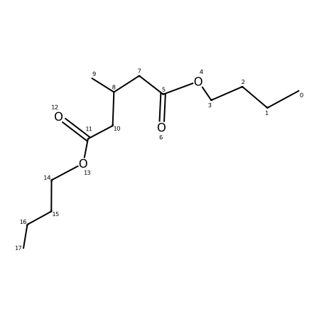 CCCCOC(=O)CC(C)CC(=O)OCCCC